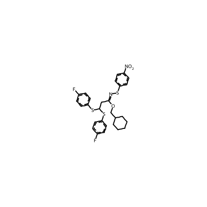 O=[N+]([O-])c1ccc(S/N=C(/CC(Sc2ccc(F)cc2)Sc2ccc(F)cc2)OCC2CCCCC2)cc1